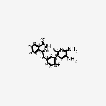 Cc1nc(N)c(N)cc1-c1cc(Cc2n[nH]c(=O)c3ccccc23)ccc1F